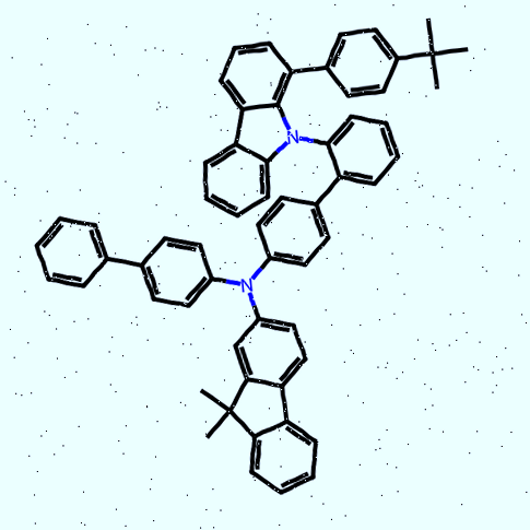 CC(C)(C)c1ccc(-c2cccc3c4ccccc4n(-c4ccccc4-c4ccc(N(c5ccc(-c6ccccc6)cc5)c5ccc6c(c5)C(C)(C)c5ccccc5-6)cc4)c23)cc1